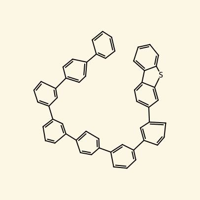 c1ccc(-c2ccc(-c3cccc(-c4cccc(-c5ccc(-c6cccc(-c7cccc(-c8ccc9c(c8)sc8ccccc89)c7)c6)cc5)c4)c3)cc2)cc1